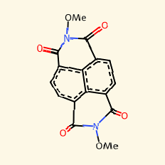 CON1C(=O)c2ccc3c4c(ccc(c24)C1=O)C(=O)N(OC)C3=O